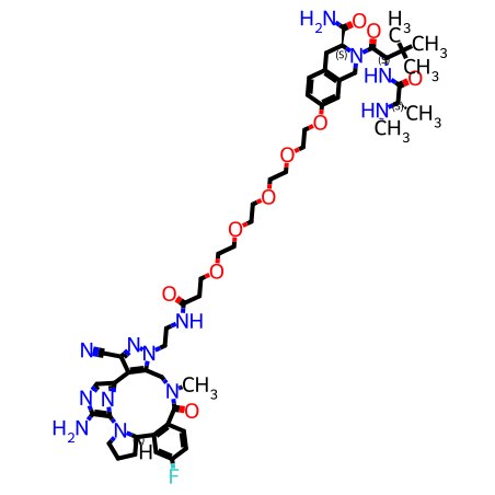 CN[C@@H](C)C(=O)N[C@H](C(=O)N1Cc2cc(OCCOCCOCCOCCOCCC(=O)NCCn3nc(C#N)c4c3CN(C)C(=O)c3ccc(F)cc3[C@H]3CCCN3c3nc-4cnc3N)ccc2C[C@H]1C(N)=O)C(C)(C)C